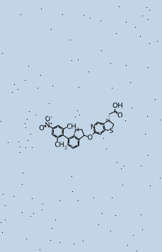 Cc1cc([N+](=O)[O-])cc(C)c1-c1cccc2c1CCC2Oc1cc2c(cn1)[C@H](CC(=O)O)CS2